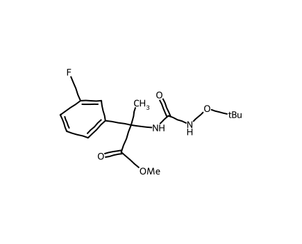 COC(=O)C(C)(NC(=O)NOC(C)(C)C)c1cccc(F)c1